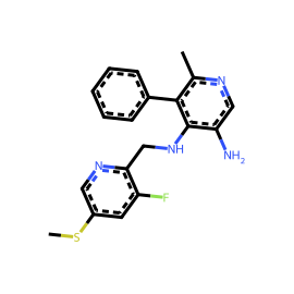 CSc1cnc(CNc2c(N)cnc(C)c2-c2ccccc2)c(F)c1